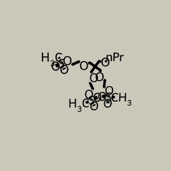 CCCOCC(COCCOS(C)(=O)=O)(COCCOS(C)(=O)=O)COCCOS(C)(=O)=O